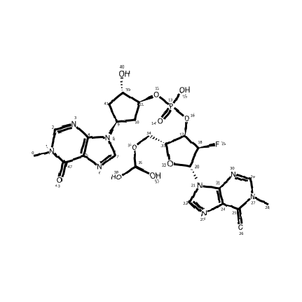 Cn1cnc2c(ncn2[C@@H]2C[C@H](OP(=O)(O)O[C@H]3[C@@H](F)[C@H](n4cnc5c(=O)n(C)cnc54)O[C@@H]3COC(O)O)[C@@H](O)C2)c1=O